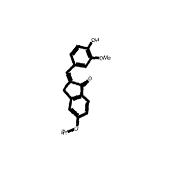 COc1cc(C=C2Cc3cc(OC(C)C)ccc3C2=O)ccc1O